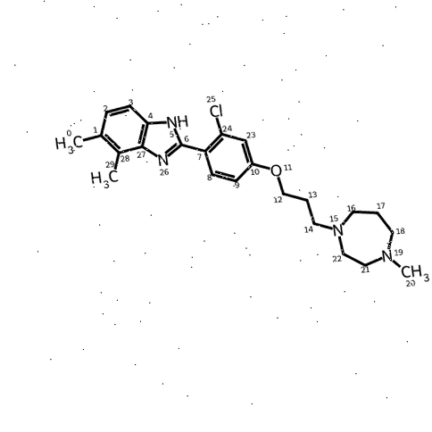 Cc1ccc2[nH]c(-c3ccc(OCCCN4CCCN(C)CC4)cc3Cl)nc2c1C